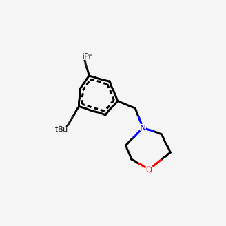 CC(C)c1cc(CN2CCOCC2)cc(C(C)(C)C)c1